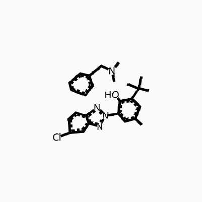 CN(C)Cc1ccccc1.Cc1cc(-n2nc3ccc(Cl)cc3n2)c(O)c(C(C)(C)C)c1